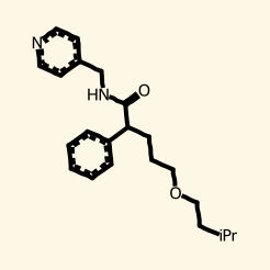 CC(C)CCOCCCC(C(=O)NCc1ccncc1)c1ccccc1